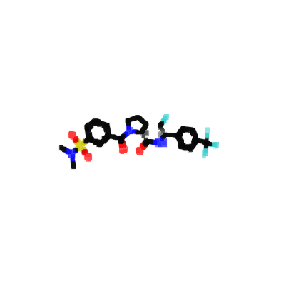 CN(C)S(=O)(=O)c1cccc(C(=O)N2CCC[C@@H]2C(=O)N[C@H](CF)c2ccc(C(F)(F)F)cc2)c1